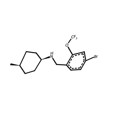 C[C@H]1CC[C@@H](NCc2ccc(Br)cc2OC(F)(F)F)CC1